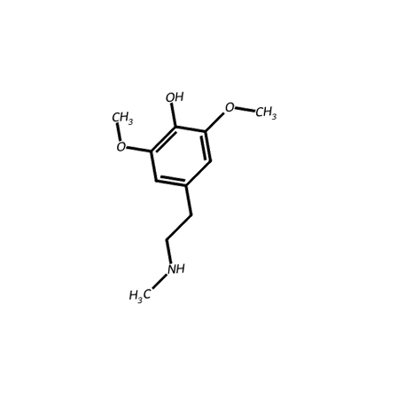 CNCCc1cc(OC)c(O)c(OC)c1